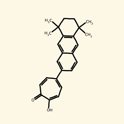 CC1(C)CCC(C)(C)c2cc3cc(-c4ccc(O)c(=O)cc4)ccc3cc21